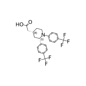 O=C(O)C[C@@H]1CCN(c2ccc(C(F)(F)F)cc2)[C@H](c2ccc(C(F)(F)F)cc2)C1